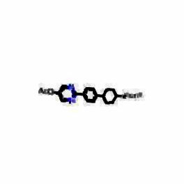 CCCCCC1CCC(c2ccc(-c3ncc(OC(C)=O)cn3)cc2)CC1